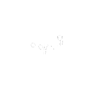 O=C(CN1CCC(O)(Cc2ccccc2)CC1)Nc1ccc(-c2ccccc2)cc1